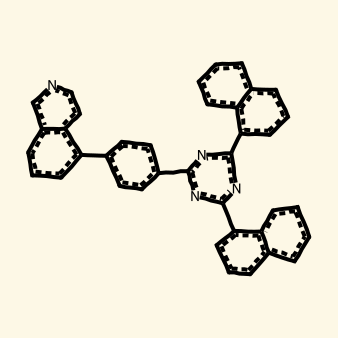 c1cc(-c2ccc(-c3nc(-c4cccc5ccccc45)nc(-c4cccc5ccccc45)n3)cc2)c2ccncc2c1